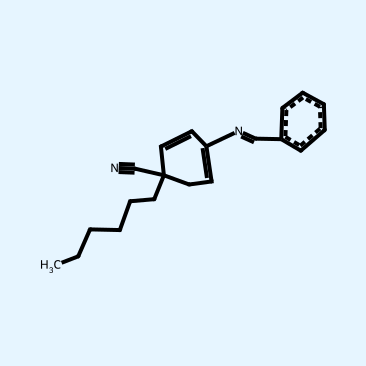 CCCCCCC1(C#N)C=CC(N=Cc2ccccc2)=CC1